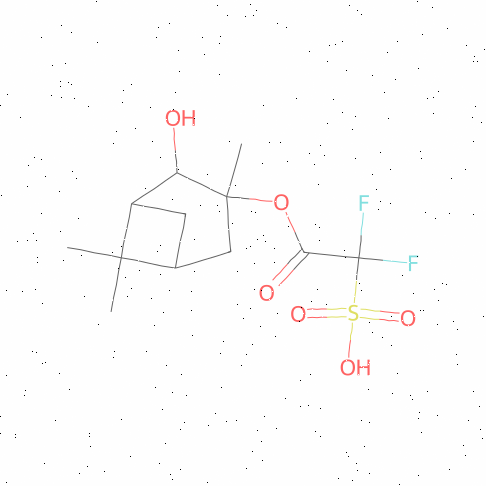 CC1(OC(=O)C(F)(F)S(=O)(=O)O)CC2CC(C1O)C2(C)C